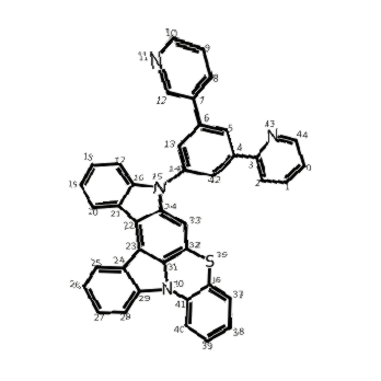 c1ccc(-c2cc(-c3cccnc3)cc(-n3c4ccccc4c4c5c6ccccc6n6c5c(cc43)Sc3ccccc3-6)c2)nc1